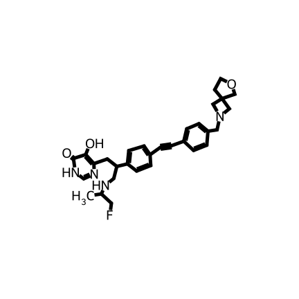 CC(CF)NCC(Cc1nc[nH]c(=O)c1O)c1ccc(C#Cc2ccc(CN3CC4(CCOC4)C3)cc2)cc1